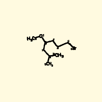 CO[C](CCCBr)CC(C)C